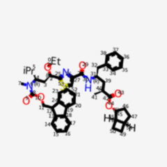 CCO[C@H](C[C@H](C(C)C)N(C)C(=O)OCC1c2ccccc2-c2ccccc21)c1nc(C(=O)N[C@@H](Cc2ccccc2)C[C@H](C)C(=O)O[C@H]2CC[C@@H]3CC[C@@H]32)cs1